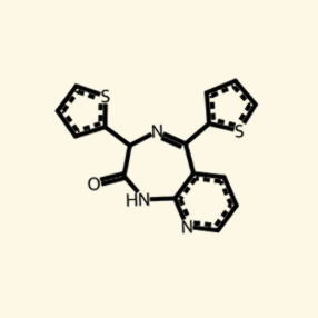 O=C1Nc2ncccc2C(c2cccs2)=NC1c1cccs1